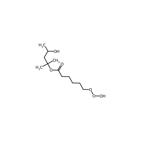 CC(O)CC(C)(C)OC(=O)CCCCCOOO